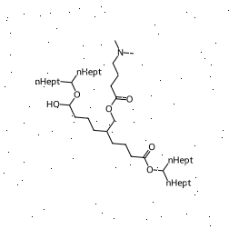 CCCCCCCC(CCCCCCC)OC(=O)CCCC(CCCC(O)OC(CCCCCCC)CCCCCCC)COC(=O)CCCN(C)C